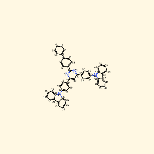 c1ccc(-c2ccc(-c3nc(-c4ccc(-n5c6ccccc6c6ccccc65)cc4)cc(-c4ccc(-n5c6ccccc6c6ccccc65)cc4)n3)cc2)cc1